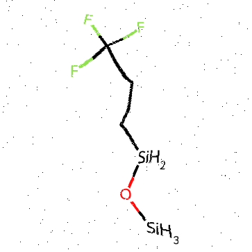 FC(F)(F)CC[SiH2]O[SiH3]